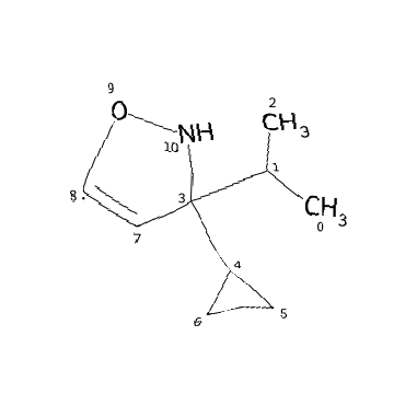 CC(C)C1(C2CC2)C=[C]ON1